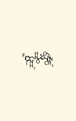 Cc1cnn2c1C1C=C(C(=O)N[C@H](CN)Cc3cc(F)cc(I)c3)SC1OCC2